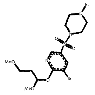 CCN1CCN(S(=O)(=O)c2cnc(OC(CCOC)OC)c(Br)c2)CC1